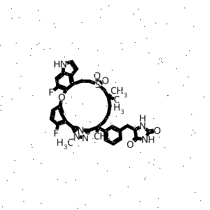 Cn1nc2nc1-c1cc(ccc1F)Oc1c(F)cc3[nH]ccc3c1CCS(=O)(=O)CC(C)(C)CCCC2(C)c1cccc(CC2NC(=O)NC2=O)c1